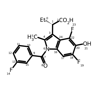 CC[C@H](C(=O)O)c1c(C)n(C(=O)c2cccc(F)c2)c2cc(F)c(O)c(F)c12